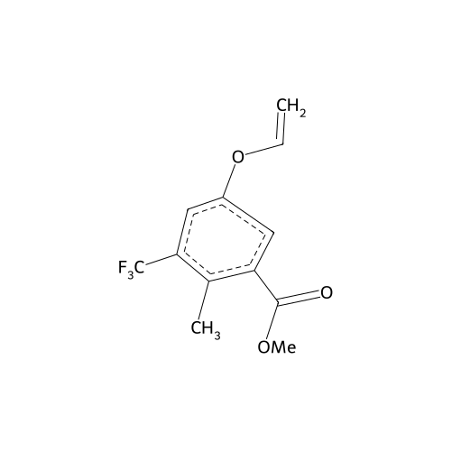 C=COc1cc(C(=O)OC)c(C)c(C(F)(F)F)c1